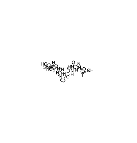 CC(CN(C(=O)c1ccccc1)c1ncnc2c1ncn2[C@@H]1O[C@@H]2C(OP(O)(O)=S)[C@]2(O)[C@H]1F)C(=O)Nc1nc2c(ncn2[C@H]2C[C@H](F)[C@@H](CO)O2)c(=O)[nH]1